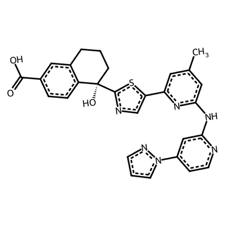 Cc1cc(Nc2cc(-n3cccn3)ccn2)nc(-c2cnc([C@]3(O)CCCc4cc(C(=O)O)ccc43)s2)c1